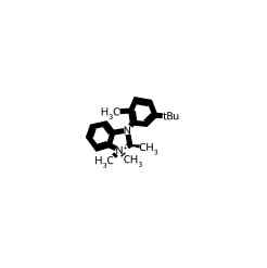 Cc1ccc(C(C)(C)C)cc1N1c2ccccc2[N+](C)(C)[C@@H]1C